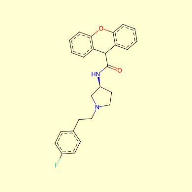 O=C(N[C@H]1CCN(CCc2ccc(F)cc2)C1)C1c2ccccc2Oc2ccccc21